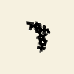 CCS(=O)(=O)c1c(-c2nc3cc(C(F)(F)F)ncc3n2C)sc2c(C(=O)NC)csc12